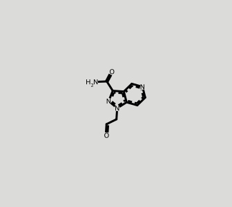 NC(=O)c1nn(CC=O)c2ccncc12